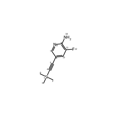 C[Si](C)(C)C#Cc1cnc(N)c(F)c1